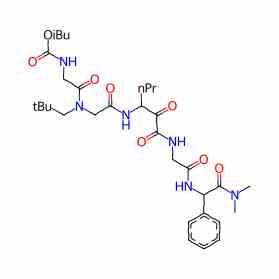 CCCC(NC(=O)CN(CC(C)(C)C)C(=O)CNC(=O)OCC(C)C)C(=O)C(=O)NCC(=O)NC(C(=O)N(C)C)c1ccccc1